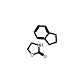 O=C1NCCO1.c1ccc2c(c1)CCC2